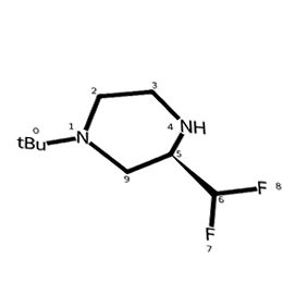 CC(C)(C)N1CCN[C@@H](C(F)F)C1